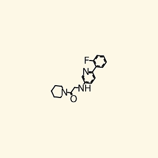 O=C(CNc1ccc(-c2ccccc2F)nc1)N1CCCCC1